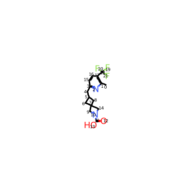 Cc1nc(CC2CC3(C2)CN(C(=O)O)C3)ccc1C(F)(F)F